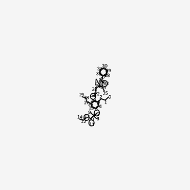 CCCc1cc(OC(C)(C)C(=O)OCC)cc(CCC)c1OCCc1nc(-c2ccccc2)oc1C